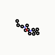 c1ccc(-c2cccc(-c3ccc(N(c4ccccc4)c4ccccc4-c4ccc5c6ccccc6n(-c6cccc7c6-c6ccccc6C7(c6ccccc6)c6ccccc6)c5c4)cc3)c2)cc1